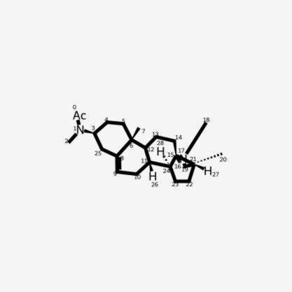 CC(=O)N(C)[C@H]1CC[C@@]2(C)C(=CC[C@@H]3C2CC[C@]24CN(C)[C@@H](C)[C@H]2CC[C@@H]34)C1